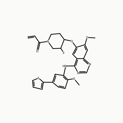 C=CC(=O)N1CCC(Oc2cc3c(Nc4cc(-c5cccs5)ccc4OC)ncnc3cc2OC)C(F)C1